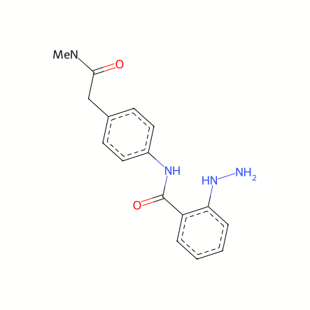 CNC(=O)Cc1ccc(NC(=O)c2ccccc2NN)cc1